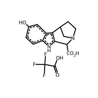 O=C(O)C(F)(F)F.O=C(O)C1c2[nH]c3ccc(O)cc3c2C2CCN1C2